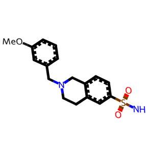 COc1cccc(CN2CCc3cc(S(N)(=O)=O)ccc3C2)c1